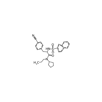 CCCN(C(=O)C(Cc1ccc(C#N)cc1)NS(=O)(=O)c1ccc2ccccc2c1)C1CCCC1